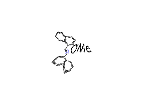 COc1ccc2ccccc2c1/C=C/c1cccc2ccccc12